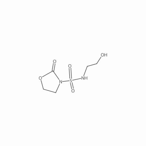 O=C1OCCN1S(=O)(=O)NCCO